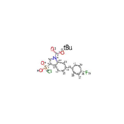 CC(C)(C)OC(=O)n1cc(S(=O)(=O)Cl)c2ccc(-c3ccc(F)cc3)cc21